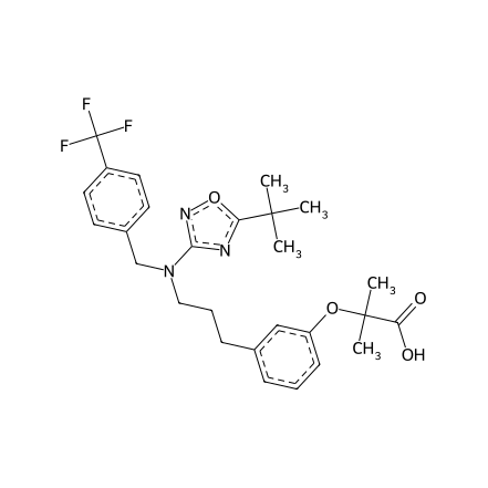 CC(C)(Oc1cccc(CCCN(Cc2ccc(C(F)(F)F)cc2)c2noc(C(C)(C)C)n2)c1)C(=O)O